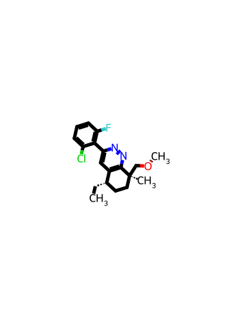 CC[C@H]1CC[C@](C)(COC)c2nnc(-c3c(F)cccc3Cl)cc21